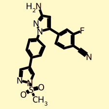 CS(=O)(=O)n1cc(-c2ccc(-n3nc(N)cc3-c3ccc(C#N)c(F)c3)cc2)cn1